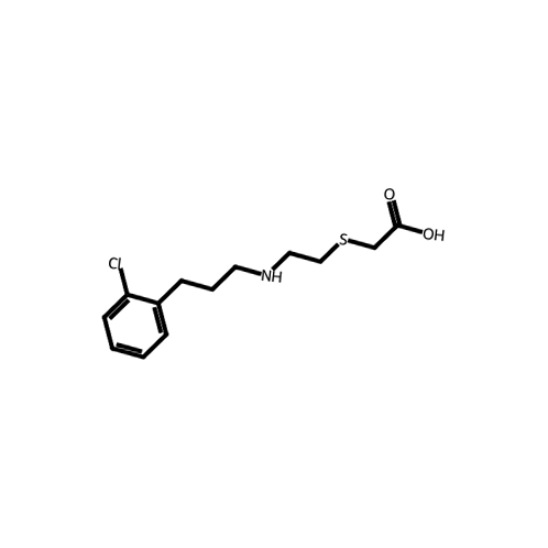 O=C(O)CSCCNCCCc1ccccc1Cl